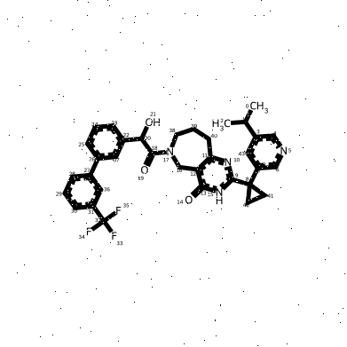 CC(C)c1cncc(C2(c3nc4c(c(=O)[nH]3)CN(C(=O)C(O)c3cccc(-c5cccc(C(F)(F)F)c5)c3)CCC4)CC2)c1